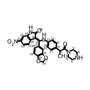 CC(C(=O)N1CCNCC1)c1ccc(N/C(=C2\C(=O)Nc3cc([N+](=O)[O-])ccc32)c2ccc3c(c2)OCO3)cc1